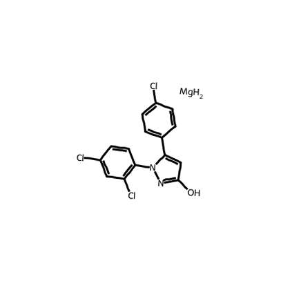 Oc1cc(-c2ccc(Cl)cc2)n(-c2ccc(Cl)cc2Cl)n1.[MgH2]